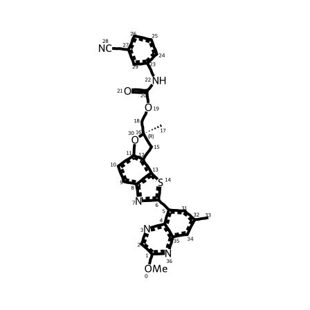 COc1cnc2c(-c3nc4ccc5c(c4s3)C[C@](C)(COC(=O)Nc3cccc(C#N)c3)O5)cc(C)cc2n1